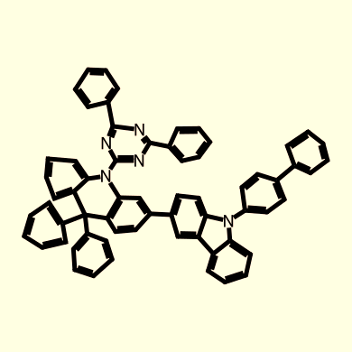 c1ccc(-c2ccc(-n3c4ccccc4c4cc(-c5ccc6c(c5)N(c5nc(-c7ccccc7)nc(-c7ccccc7)n5)c5ccccc5C6(c5ccccc5)c5ccccc5)ccc43)cc2)cc1